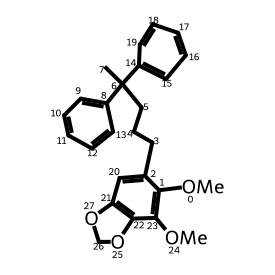 COc1c(CCCC(C)(c2ccccc2)c2ccccc2)cc2c(c1OC)OCO2